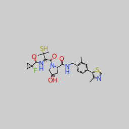 Cc1cc(-c2scnc2C)ccc1CNC(=O)C1C[C@@H](O)CN1C(=O)[C@@H](NC(=O)C1(F)CC1)C(C)(C)S